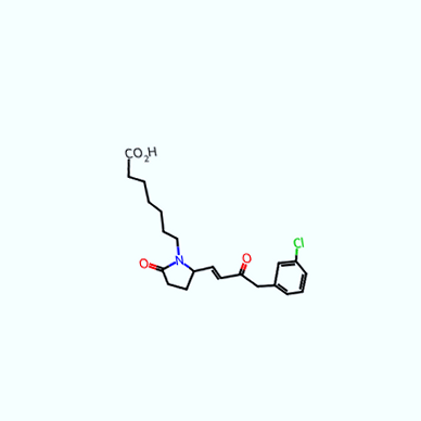 O=C(O)CCCCCCN1C(=O)CCC1/C=C/C(=O)Cc1cccc(Cl)c1